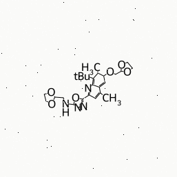 Cc1cc(-c2nnc(NCC3OCCO3)o2)nc2c1=CC(OCC1OCCO1)C(C)C=2C(C)(C)C